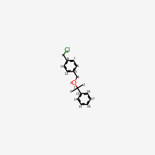 CC(C)(OCc1ccc(CCl)cc1)c1ccccc1